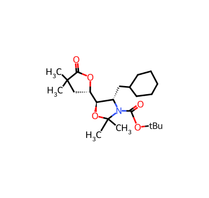 CC(C)(C)OC(=O)N1[C@@H](CC2CCCCC2)[C@H]([C@@H]2CC(C)(C)C(=O)O2)OC1(C)C